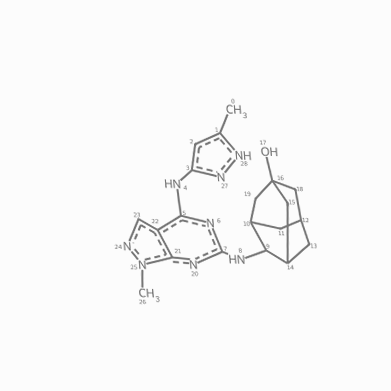 Cc1cc(Nc2nc(NC3C4CC5CC3CC(O)(C5)C4)nc3c2cnn3C)n[nH]1